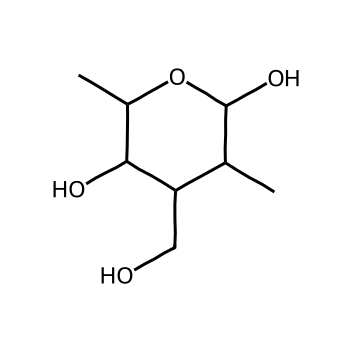 CC1OC(O)C(C)C(CO)C1O